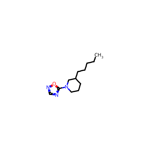 CCCCCC1CCCN(c2ncno2)C1